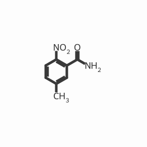 Cc1ccc([N+](=O)[O-])c(C(N)=O)c1